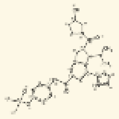 CC(C)N1c2c(cc(C(=O)Nc3ccc(OC(F)(F)Cl)cc3)cc2-c2ccn[nH]2)CC1C(=O)N1CCC(O)C1